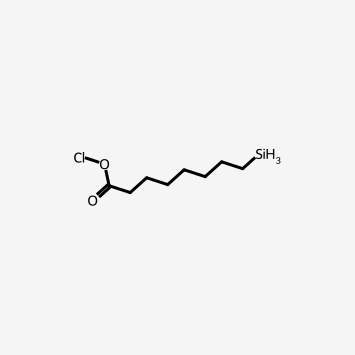 O=C(CCCCCCC[SiH3])OCl